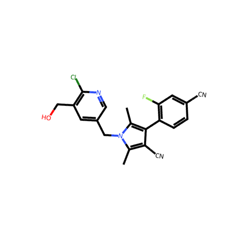 Cc1c(C#N)c(-c2ccc(C#N)cc2F)c(C)n1Cc1cnc(Cl)c(CO)c1